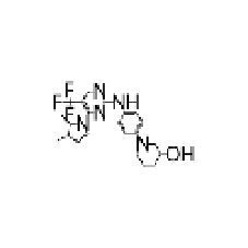 CC1CCN(c2nc(Nc3ccc(N4CCCC(O)C4)cc3)ncc2C(F)(F)F)C1C